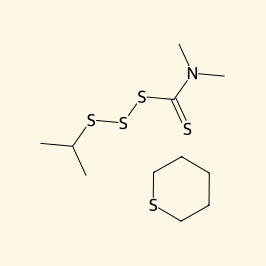 C1CCSCC1.CC(C)SSSC(=S)N(C)C